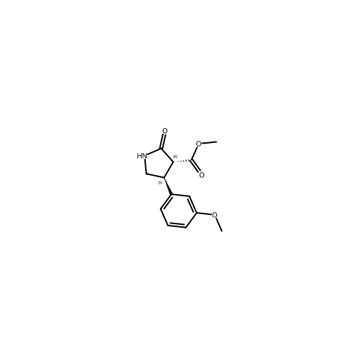 COC(=O)[C@H]1C(=O)NC[C@@H]1c1cccc(OC)c1